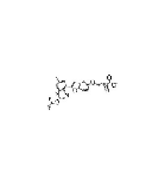 COC(=O)NCCOc1ccc2oc(-c3cc(C)cc4nc(OC(F)F)cnc34)cc2c1